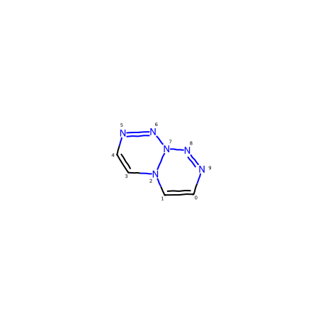 C1=CN2C=CN=NN2N=N1